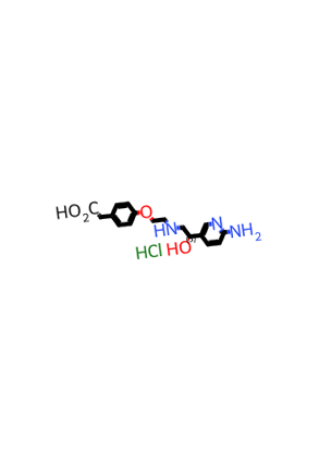 Cl.Nc1ccc([C@H](O)CNCCOc2ccc(CC(=O)O)cc2)cn1